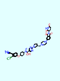 N#Cc1ccc(O[C@H]2CC[C@H](NC(O)c3cnc(N4CC[C@@H](CN5CCN(c6ccc7c(c6)C(=O)N(C6CCC(=O)NC6=O)C7=O)CC5)C4)nc3)CC2)cc1Cl